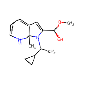 CO[C@@H](O)C1=CC2=CC=CNC2(C)N1C(C)C1CC1